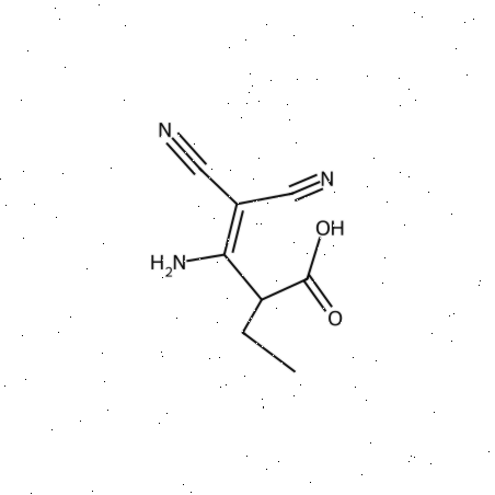 CCC(C(=O)O)C(N)=C(C#N)C#N